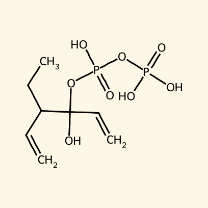 C=CC(CC)C(O)(C=C)OP(=O)(O)OP(=O)(O)O